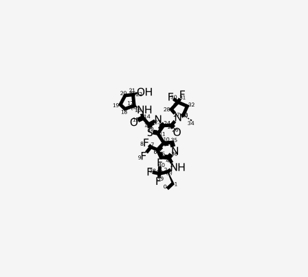 CC[C@H](Nc1cc(C(F)F)c(-c2sc(C(=O)N[C@@H]3CCC[C@H]3O)nc2C(=O)N2CC(F)(F)C[C@@H]2C)cn1)C(F)(F)F